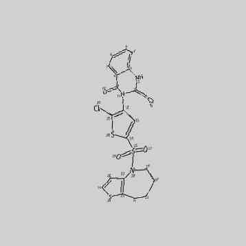 O=c1[nH]c2ccccc2c(=O)n1-c1cc(S(=O)(=O)N2CCCCc3sccc32)sc1Cl